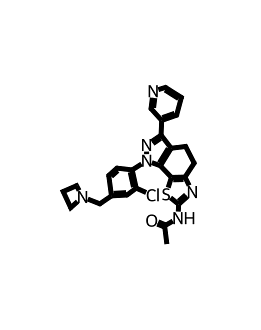 CC(=O)Nc1nc2c(s1)-c1c(c(-c3cccnc3)nn1-c1ccc(CN3CCC3)cc1Cl)CC2